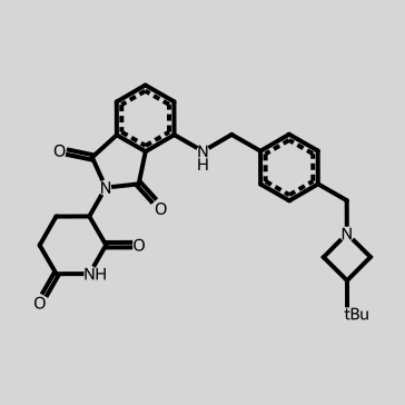 CC(C)(C)C1CN(Cc2ccc(CNc3cccc4c3C(=O)N(C3CCC(=O)NC3=O)C4=O)cc2)C1